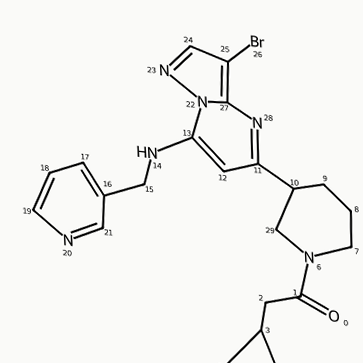 O=C(CC1CC1)N1CCCC(c2cc(NCc3cccnc3)n3ncc(Br)c3n2)C1